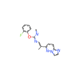 C=N/C(=N\C=C(/C)c1ccc2nccn2n1)Oc1ccccc1F